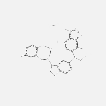 Cc1ccc2c(c1)CN(C1CCc3ccc(C(CC(=O)O)c4ccc5c(nnn5C)c4C)cc31)C[C@@H](C)O2.O=CO